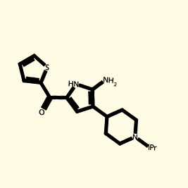 CC(C)N1CCC(c2cc(C(=O)c3cccs3)[nH]c2N)CC1